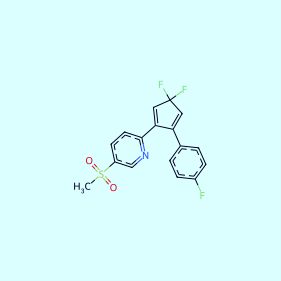 CS(=O)(=O)c1ccc(C2=CC(F)(F)C=C2c2ccc(F)cc2)nc1